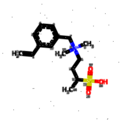 C=Cc1cccc(C[N+](C)(C)CCC(C)S(=O)(=O)O)c1